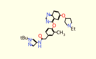 CCN1CCC(Oc2ccc3ncnc(Oc4ccc(CC(=O)Nc5cnn(C(C)(C)C)c5)cc4C)c3c2)CC1